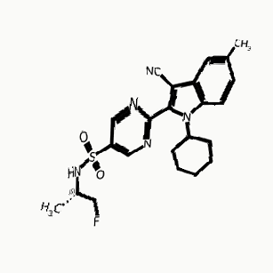 Cc1ccc2c(c1)c(C#N)c(-c1ncc(S(=O)(=O)N[C@@H](C)CF)cn1)n2C1CCCCC1